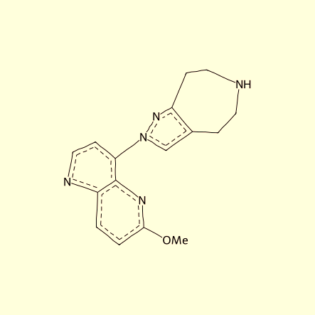 COc1ccc2nccc(-n3cc4c(n3)CCNCC4)c2n1